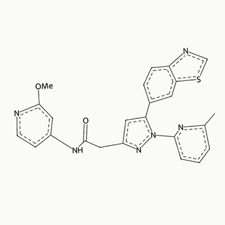 COc1cc(NC(=O)Cc2cc(-c3ccc4ncsc4c3)n(-c3cccc(C)n3)n2)ccn1